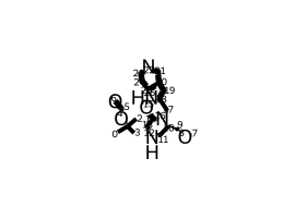 CC(C)(C)OC=O.COC[C@H]1CNCC(=O)N1Cc1cc2cnccc2[nH]1